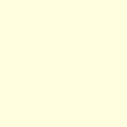 CC(=O)C(Cc1cccc(F)c1)C(=O)C(C)C